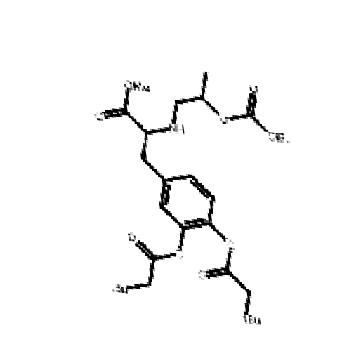 COC(=O)[C@H](Cc1ccc(OC(=O)CC(C)(C)C)c(OC(=O)CC(C)(C)C)c1)NCC(C)OC(=O)OCC(C)C